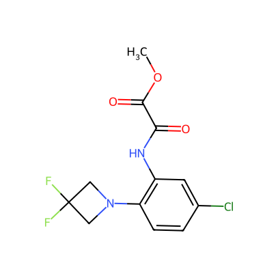 COC(=O)C(=O)Nc1cc(Cl)ccc1N1CC(F)(F)C1